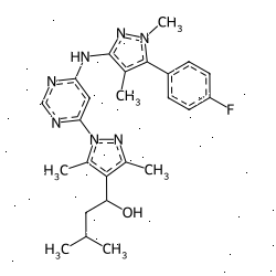 Cc1nn(-c2cc(Nc3nn(C)c(-c4ccc(F)cc4)c3C)ncn2)c(C)c1C(O)CC(C)C